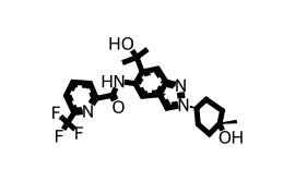 CC(C)(O)c1cc2nn([C@H]3CC[C@@](C)(O)CC3)cc2cc1NC(=O)c1cccc(C(F)(F)F)n1